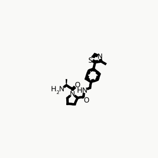 Cc1ncsc1-c1ccc(CNC(=O)C2CCCN2C(=O)[C@H](C)N)cc1